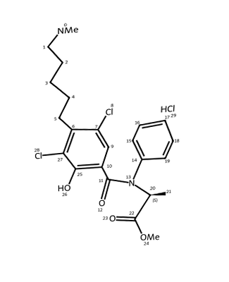 CNCCCCCc1c(Cl)cc(C(=O)N(c2ccccc2)[C@@H](C)C(=O)OC)c(O)c1Cl.Cl